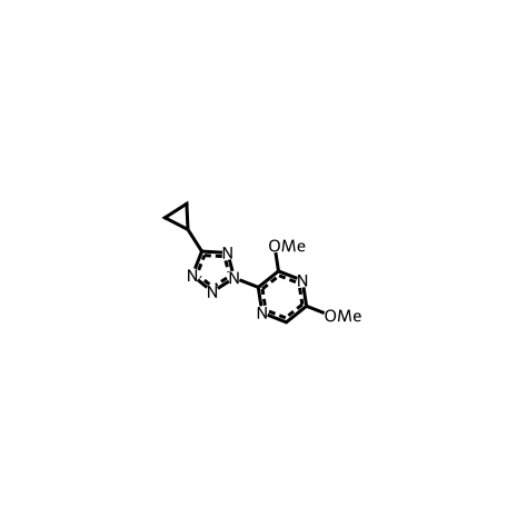 COc1cnc(-n2nnc(C3CC3)n2)c(OC)n1